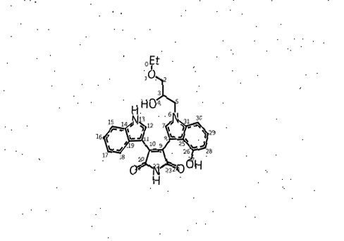 CCOCC(O)Cn1cc(C2=C(c3c[nH]c4ccccc34)C(=O)NC2=O)c2c(O)cccc21